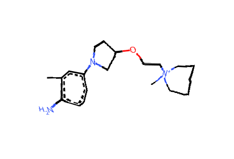 Cc1cc(N2CCC(OCC[N+]3(C)CCCCC3)C2)ccc1N